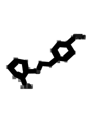 COc1ccc(CCOc2ccccc2C(C)(C)C)cc1